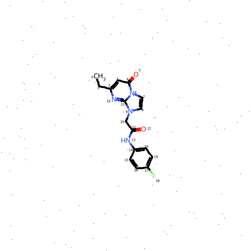 CCc1cc(=O)n2ccn(CC(=O)Nc3ccc(F)cc3)c2n1